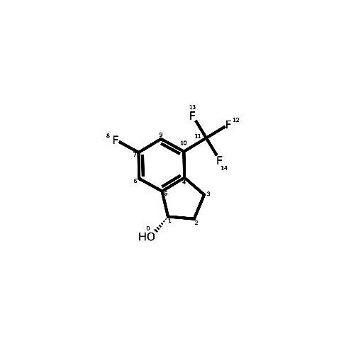 O[C@H]1CCc2c1cc(F)cc2C(F)(F)F